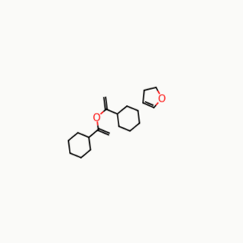 C1=COCC1.C=C(OC(=C)C1CCCCC1)C1CCCCC1